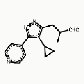 CC(C=O)Cc1nnc(-c2ccncc2)n1C1CC1